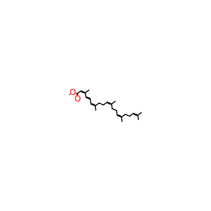 COC(=O)C=C(C)C=CC=C(C)CCC=C(C)CCC=C(C)CCC=C(C)C